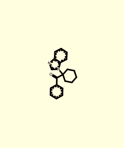 O=C(c1ccccc1)C1(n2cnc3ccccc32)CCCCC1